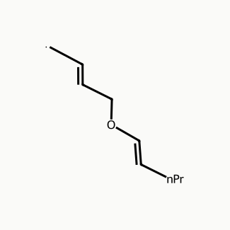 [CH2]C=CCOC=CCCC